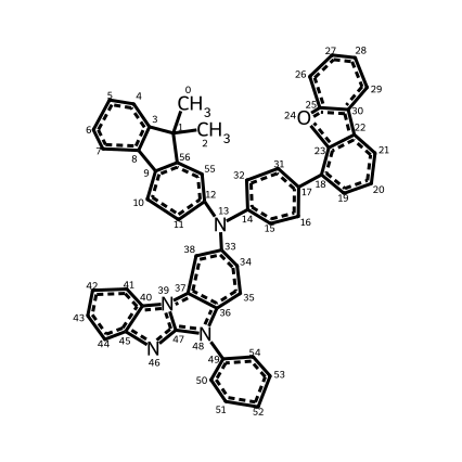 CC1(C)c2ccccc2-c2ccc(N(c3ccc(-c4cccc5c4oc4ccccc45)cc3)c3ccc4c(c3)n3c5ccccc5nc3n4-c3ccccc3)cc21